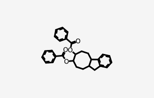 O=C(OC1CCC2Cc3ccccc3C2CCC1OC(=O)c1ccccc1)c1ccccc1